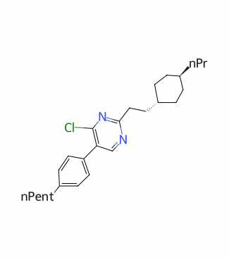 CCCCCc1ccc(-c2cnc(CC[C@H]3CC[C@H](CCC)CC3)nc2Cl)cc1